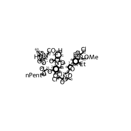 CC1(C)OC(c2ccco2)CN1C(=O)C(Cl)Cl.CCCCCOC(=O)COc1cc(N2C(=O)C3=C(CCCC3)C2=O)c(F)cc1Cl.CCc1cccc(CC)c1N(COC)C(=O)CCl.C[S+](C)C.O=C(O)CNCP(=O)([O-])O